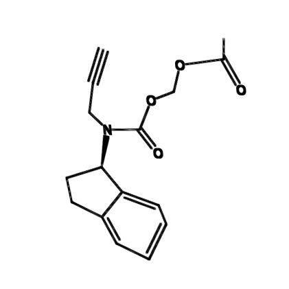 C#CCN(C(=O)OCOC(C)=O)[C@@H]1CCc2ccccc21